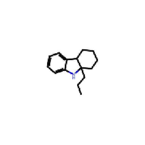 CCCC12CCCCC1c1ccccc1N2